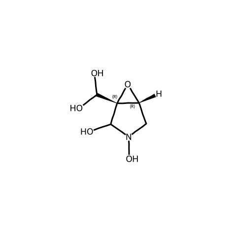 OC(O)[C@@]12O[C@@H]1CN(O)C2O